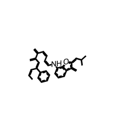 C=C(/C=C\C=C/Nc1cccc2c(=C)/c(=C\C(C)C)oc12)C(=C)/C=C(\C=C/C)c1ccccc1